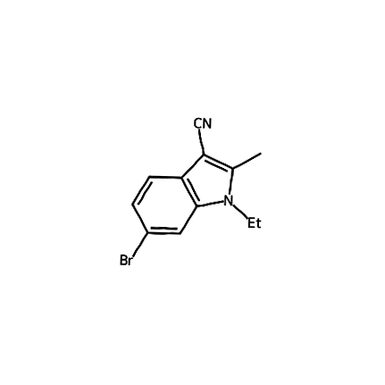 CCn1c(C)c(C#N)c2ccc(Br)cc21